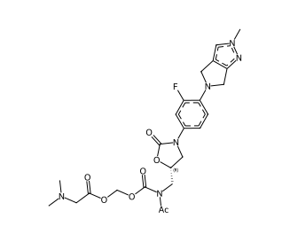 CC(=O)N(C[C@H]1CN(c2ccc(N3Cc4cn(C)nc4C3)c(F)c2)C(=O)O1)C(=O)OCOC(=O)CN(C)C